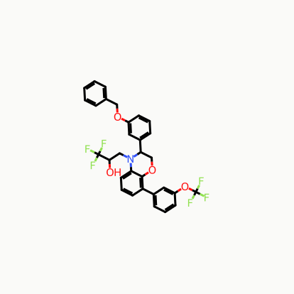 OC(CN1c2cccc(-c3cccc(OC(F)(F)F)c3)c2OCC1c1cccc(OCc2ccccc2)c1)C(F)(F)F